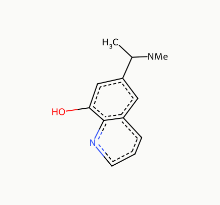 CNC(C)c1cc(O)c2ncccc2c1